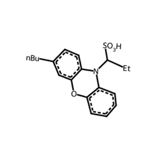 CCCCc1ccc2c(c1)Oc1ccccc1N2C(CC)S(=O)(=O)O